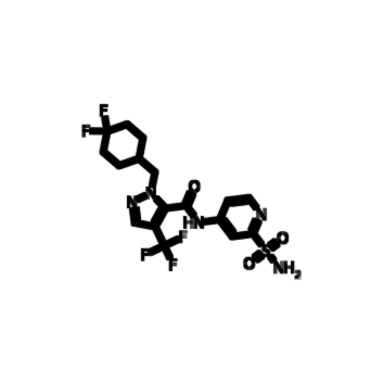 NS(=O)(=O)c1cc(NC(=O)c2c(C(F)(F)F)cnn2CC2CCC(F)(F)CC2)ccn1